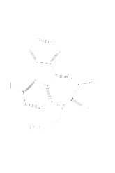 CCOC(=O)CN1C(=O)[C@H](C(C)CC)N=C(c2ccccc2)c2cc(F)ccc21